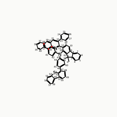 CC1(C)c2ccccc2-c2ccc(-c3nc4ccccc4cc3-c3ccccc3)c(N(c3ccc(-c4ccccc4)cc3)c3ccc(-c4cccc5c4sc4ccccc45)cc3)c21